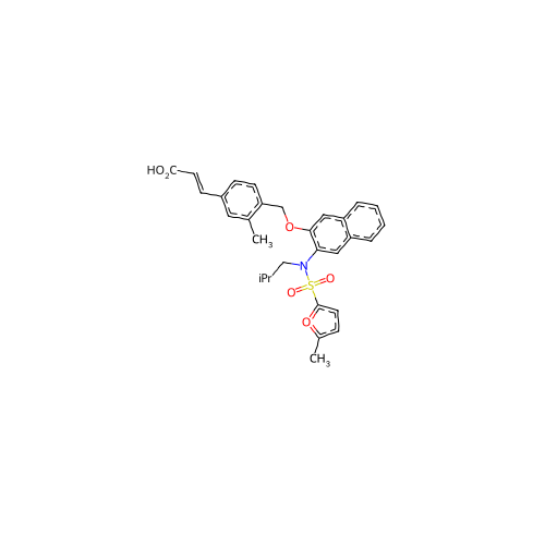 Cc1ccc(S(=O)(=O)N(CC(C)C)c2cc3ccccc3cc2OCc2ccc(C=CC(=O)O)cc2C)o1